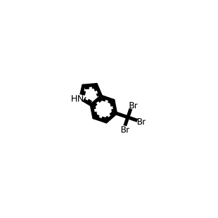 BrC(Br)(Br)c1ccc2[nH]ccc2c1